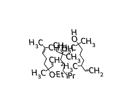 C=CC(C)(CCC=C(C)C)OCC.C=CC(C)(O)CCCC(C)C.C=CC(C)CCCC(C)(C)O